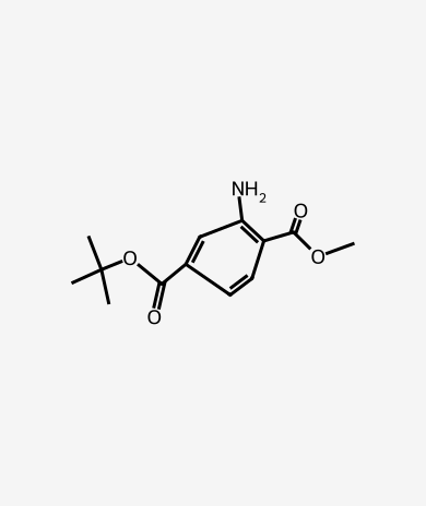 COC(=O)c1ccc(C(=O)OC(C)(C)C)cc1N